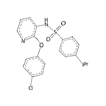 CC(C)c1ccc(S(=O)(=O)Nc2cccnc2Oc2ccc(Cl)cc2)cc1